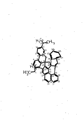 CCc1ccc2c(c1)C1(C[n+]3cc(C(C)C)ccc3-2)c2c(C)cc3ccc4cccc5c6cc7ccccc7[n+]1c6c2c3c45